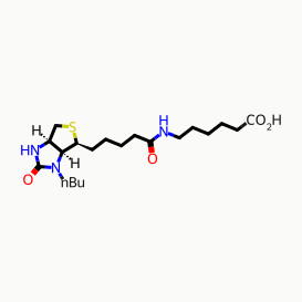 CCCCN1C(=O)N[C@H]2CS[C@@H](CCCCC(=O)NCCCCCC(=O)O)[C@H]21